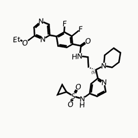 CCOc1cncc(-c2ccc(C(=O)NCC[C@@H](c3cc(NS(=O)(=O)C4CC4)ccn3)N3CCCCC3)c(F)c2F)n1